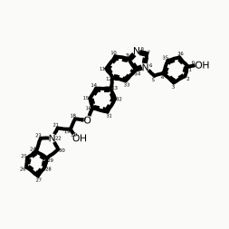 Oc1ccc(Cn2cnc3ccc(-c4ccc(OCC(O)CN5Cc6ccccc6C5)cc4)cc32)cc1